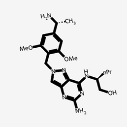 CCC[C@@H](CO)Nc1nc(N)nc2cn(Cc3c(OC)cc([C@@H](C)N)cc3OC)nc12